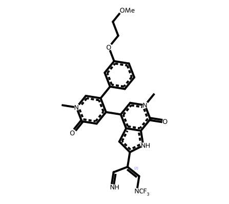 COCCOc1cccc(-c2cn(C)c(=O)cc2-c2cn(C)c(=O)c3[nH]c(/C(C=N)=C/NC(F)(F)F)cc23)c1